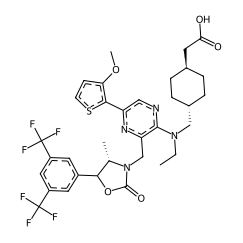 CCN(C[C@H]1CC[C@H](CC(=O)O)CC1)c1ncc(-c2sccc2OC)nc1CN1C(=O)OC(c2cc(C(F)(F)F)cc(C(F)(F)F)c2)[C@@H]1C